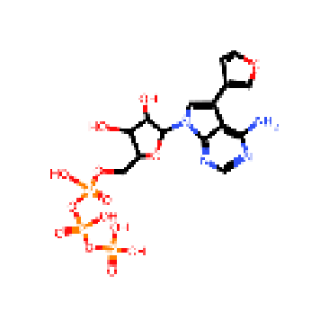 Nc1ncnc2c1c(-c1ccoc1)cn2C1OC(COP(=O)(O)OP(=O)(O)OP(=O)(O)O)C(O)C1O